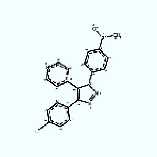 C[S+]([O-])c1ccc(C2N=NC(c3ccc(F)cc3)=C2c2ccncc2)cc1